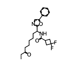 CCC(=O)CCCCCC(NC(=O)C1CC(F)(F)C1)c1ncc(-c2ccccc2)o1